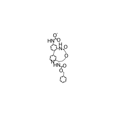 COC(=O)Nc1ccc2c(c1)NC(=O)COCC[C@H](NC(=O)OCc1ccccc1)c1cc-2ccn1